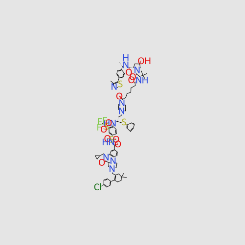 Cc1ncsc1-c1ccc([C@H](C)NC(=O)[C@@H]2C[C@@H](O)CN2C(=O)[C@@H](NC(=O)CCCCCC(=O)N2CCN(CC[C@H](CSc3ccccc3)Nc3ccc(S(=O)(=O)NC(=O)c4ccc5c(c4)N(CC4CC4)C(=O)C4CN(CC6=C(c7ccc(Cl)cc7)CCC(C)(C)C6)CCN54)cc3S(=O)(=O)C(F)(F)F)CC2)C(C)(C)C)cc1